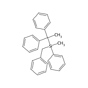 CC(c1ccccc1)(c1ccccc1)[Si](C)(Cc1ccccc1)c1ccccc1